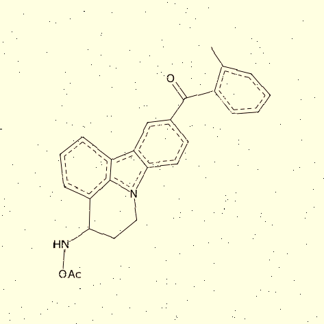 CC(=O)ONC1CCn2c3ccc(C(=O)c4ccccc4C)cc3c3cccc1c32